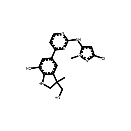 Cn1nc(Cl)cc1Nc1nccc(-c2cc(C#N)c3c(c2)C(C)(CO)CN3)n1